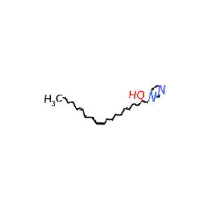 CCCCCCCC/C=C\CCCCCCCCC(O)CN1C=NCC1